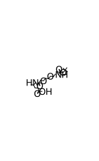 CC(CCC(=O)O)NC(=O)COCCOCCNC(=O)OC(C)(C)C